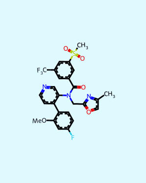 COc1cc(F)ccc1-c1ccncc1N(Cc1nc(C)co1)C(=O)c1cc(C(F)(F)F)cc(S(C)(=O)=O)c1